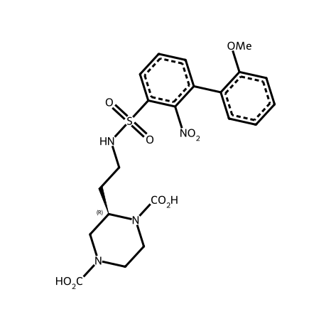 COc1ccccc1-c1cccc(S(=O)(=O)NCC[C@@H]2CN(C(=O)O)CCN2C(=O)O)c1[N+](=O)[O-]